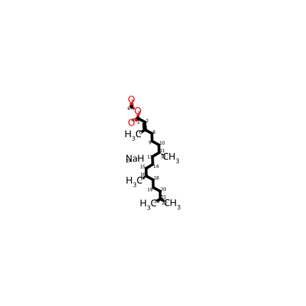 C/C(=C\C(=O)OC=O)CCC[C@H](C)CCC[C@H](C)CCCC(C)C.[NaH]